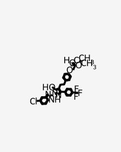 CC(C)(C)OC(=O)COc1ccc(CCc2c(-c3ccc(C(F)(F)F)cc3)nn(-c3nc4cc(Cl)ccc4[nH]3)c2O)cc1